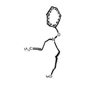 C=CCN(CCCO)Oc1ccccc1